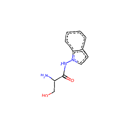 NC(CO)C(=O)Nn1ccc2ccccc21